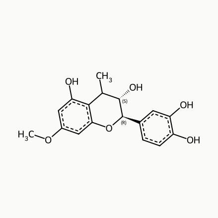 COc1cc(O)c2c(c1)O[C@H](c1ccc(O)c(O)c1)[C@@H](O)C2C